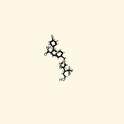 NC(=O)c1cc2cc(Cn3cc(C(CCO)C(F)(F)F)nn3)ccn2c1-c1ccc(F)cc1